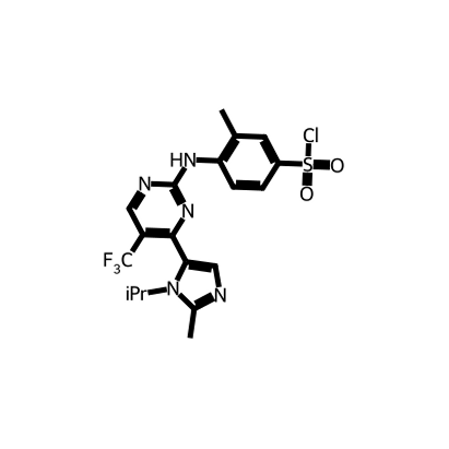 Cc1cc(S(=O)(=O)Cl)ccc1Nc1ncc(C(F)(F)F)c(-c2cnc(C)n2C(C)C)n1